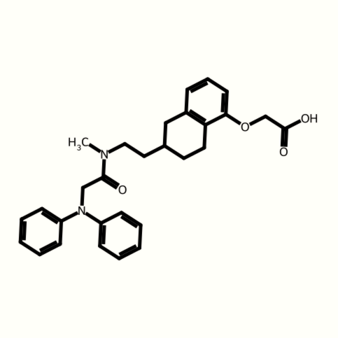 CN(CCC1CCc2c(cccc2OCC(=O)O)C1)C(=O)CN(c1ccccc1)c1ccccc1